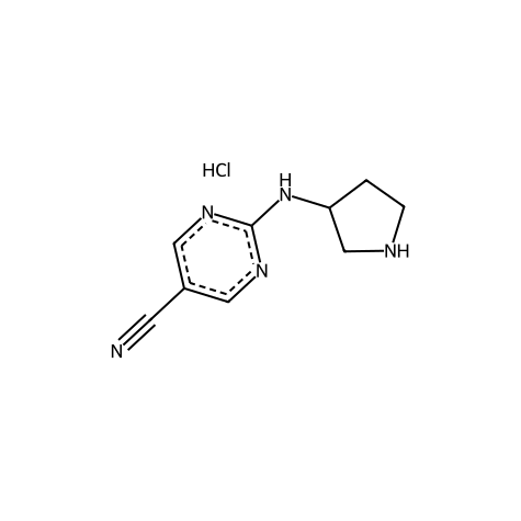 Cl.N#Cc1cnc(NC2CCNC2)nc1